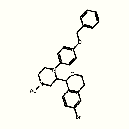 CC(=O)N1CCN(c2ccc(OCc3ccccc3)cc2)C(C2OCCc3cc(Br)ccc32)C1